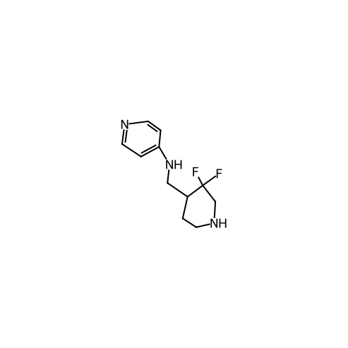 FC1(F)CNCCC1CNc1ccncc1